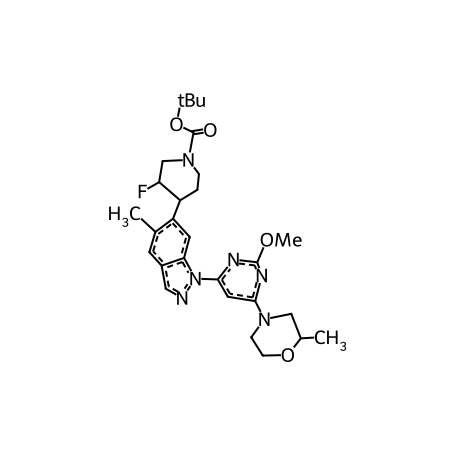 COc1nc(N2CCOC(C)C2)cc(-n2ncc3cc(C)c(C4CCN(C(=O)OC(C)(C)C)CC4F)cc32)n1